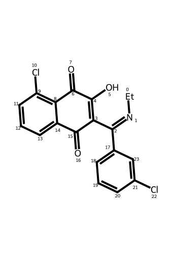 CC/N=C(\C1=C(O)C(=O)c2c(Cl)cccc2C1=O)c1cccc(Cl)c1